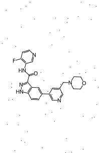 O=C(Nc1cnccc1F)c1n[nH]c2ccc(-c3cncc(CN4CCOCC4)c3)cc12